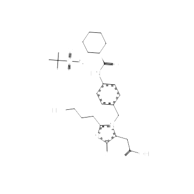 CCCCc1nc(Cl)c(CC(=O)O)n1Cc1ccc(NC(=O)[C@@H]2CCCC[C@H]2NS(=O)(=O)C(F)(F)F)cc1